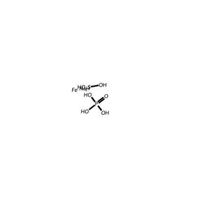 O=P(O)(O)O.O=S(=O)(O)O.[Fe].[NaH]